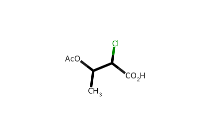 CC(=O)OC(C)C(Cl)C(=O)O